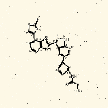 CC(C)(C)CC(=O)Nc1cncc(-c2cnc3[nH]nc(-c4nc5c(-c6ccc(F)s6)nccc5[nH]4)c3c2)c1